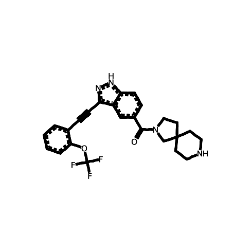 O=C(c1ccc2[nH]nc(C#Cc3ccccc3OC(F)(F)F)c2c1)N1CCC2(CCNCC2)C1